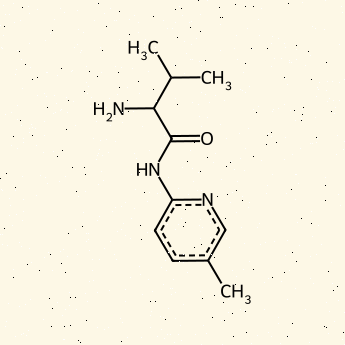 Cc1ccc(NC(=O)C(N)C(C)C)nc1